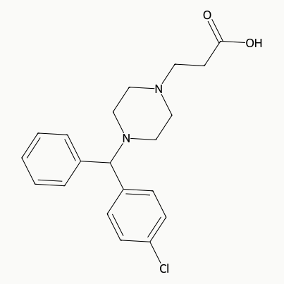 O=C(O)CCN1CCN(C(c2ccccc2)c2ccc(Cl)cc2)CC1